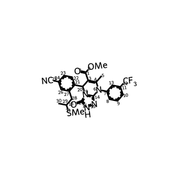 COC(=O)C1=C(C)N(c2cccc(C(F)(F)F)c2)c2n[nH]c(=O)n2C1c1ccc(C#N)cc1CC(C)SC